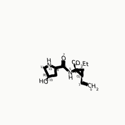 C=C[C@@H]1C[C@]1(NC(=O)C1C[C@@H](O)CN1)C(=O)OCC